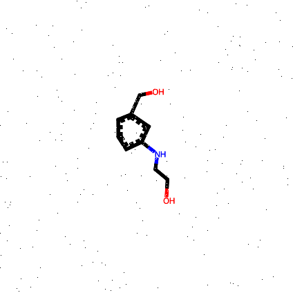 OCCNc1cccc(CO)c1